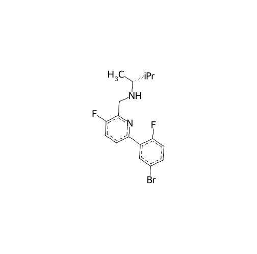 CC(C)[C@@H](C)NCc1nc(-c2cc(Br)ccc2F)ccc1F